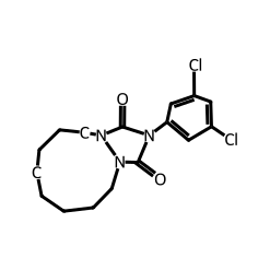 O=c1n(-c2cc(Cl)cc(Cl)c2)c(=O)n2n1CCCCCCCC2